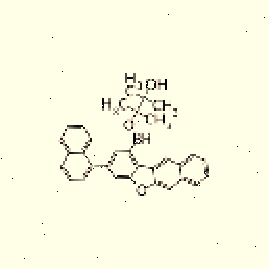 CC(C)(O)C(C)(C)OBc1cc(-c2cccc3ccccc23)cc2oc3cc4ccccc4cc3c12